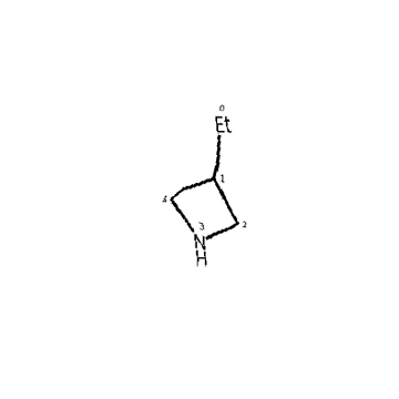 CCC1CNC1